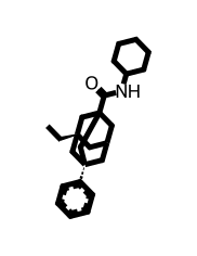 CC[C@]12CC3CC(C(=O)NC4CCCCC4)(C1)C[C@@](c1ccccc1)(C3)C2